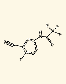 N#Cc1cc(NC(=O)C(F)(F)F)ccc1F